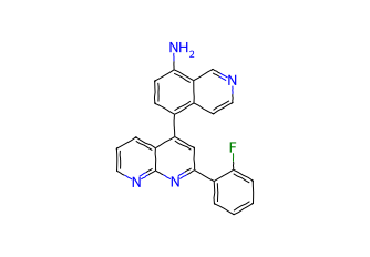 Nc1ccc(-c2cc(-c3ccccc3F)nc3ncccc23)c2ccncc12